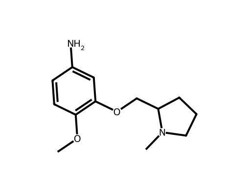 COc1ccc(N)cc1OCC1CCCN1C